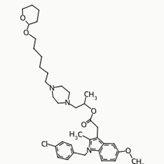 COc1ccc2c(c1)c(CC(=O)OC(C)CN1CCN(CCCCCCOC3CCCCO3)CC1)c(C)n2Cc1ccc(Cl)cc1